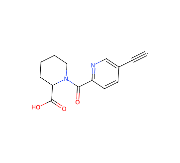 [C]#Cc1ccc(C(=O)N2CCCCC2C(=O)O)nc1